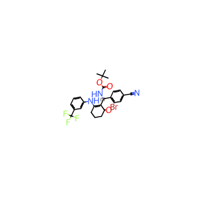 CC(C)(C)OC(=O)N[C@@H](C1=C(Nc2cccc(C(F)(F)F)c2)CCCC1=O)c1ccc(C#N)cc1Br